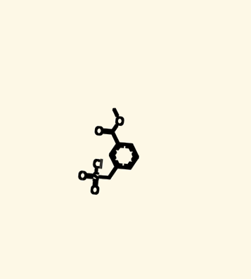 COC(=O)c1cccc(CS(=O)(=O)Cl)c1